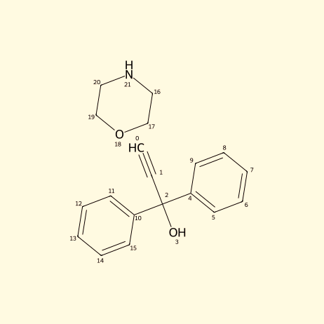 C#CC(O)(c1ccccc1)c1ccccc1.C1COCCN1